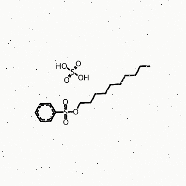 CCCCCCCCCCOS(=O)(=O)c1ccccc1.O=S(=O)(O)O